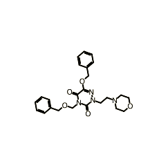 O=c1c(OCc2ccccc2)nn(CCN2CCOCC2)c(=O)n1COCc1ccccc1